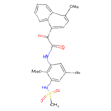 COc1c(NC(=O)C(=O)c2ccc(OC)c3ccccc23)cc(C(C)(C)C)cc1NS(C)(=O)=O